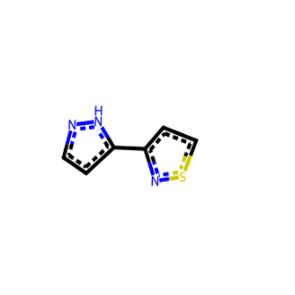 c1cc(-c2ccsn2)[nH]n1